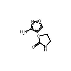 Nc1ccon1.O=C1NCCO1